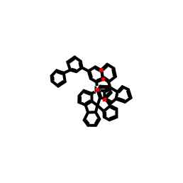 C1=CC2c3cccc(N(c4cccc(-c5cccc(-c6ccccc6)c5)c4)c4ccc5ccccc5c4-c4ccccc4)c3C3(c4ccccc4-c4ccccc43)C2C=C1